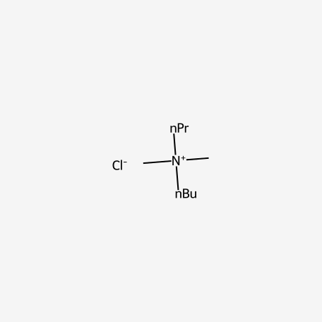 CCCC[N+](C)(C)CCC.[Cl-]